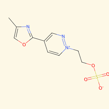 Cc1coc(-c2cc[n+](CCOS(=O)(=O)[O-])nc2)n1